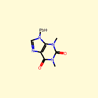 Cn1c(=O)c2nc[n]([PbH])c2n(C)c1=O